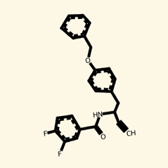 C#CC(Cc1ccc(OCc2ccccc2)cc1)NC(=O)c1ccc(F)c(F)c1